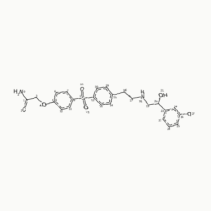 NC(=O)COc1ccc(S(=O)(=O)c2ccc(CCNCC(O)c3cccc(Cl)c3)cc2)cc1